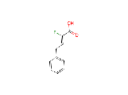 O=C(O)/C(F)=C/Cc1ccccc1